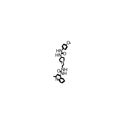 COc1ccc(NC(=O)NC2CCN(CCNC(=O)Nc3cc(C)nc4ccccc34)CC2)cc1